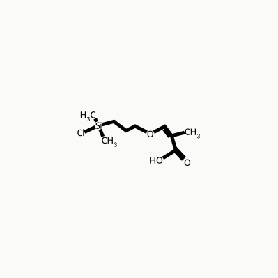 CC(=COCCC[Si](C)(C)Cl)C(=O)O